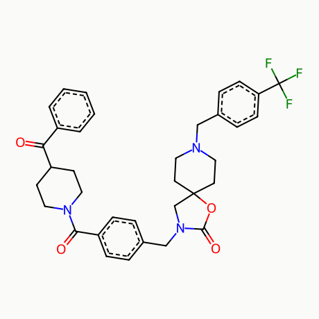 O=C(c1ccccc1)C1CCN(C(=O)c2ccc(CN3CC4(CCN(Cc5ccc(C(F)(F)F)cc5)CC4)OC3=O)cc2)CC1